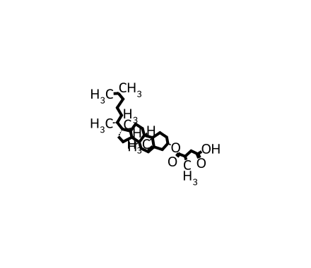 CC(C)CCC[C@@H](C)[C@H]1CC[C@H]2[C@@H]3CC=C4C[C@@H](OC(=O)C(C)CC(=O)O)CC[C@]4(C)[C@H]3CC[C@]12C